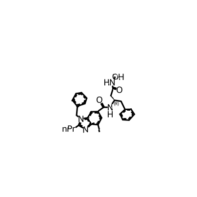 CCCc1nc2c(C)cc(C(=O)N[C@@H](CC(=O)NO)Cc3ccccc3)cc2n1Cc1ccccc1